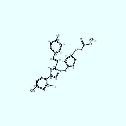 COC(=O)COc1ccc(Cn2cc(-c3ccc(Cl)cc3Cl)nc2/C=C/c2ccc(Br)cc2)cc1